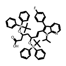 CC(C)n1c(/C=C/C(CC(CC(=O)O)O[Si](c2ccccc2)(c2ccccc2)C(C)(C)C)O[Si](c2ccccc2)(c2ccccc2)C(C)(C)C)c(-c2ccc(F)cc2)c2cccnc21